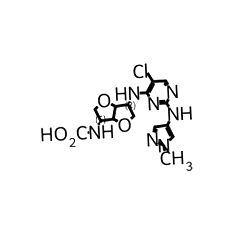 Cn1cc(Nc2ncc(Cl)c(N[C@@H]3COC4C3OC[C@@H]4NC(=O)O)n2)cn1